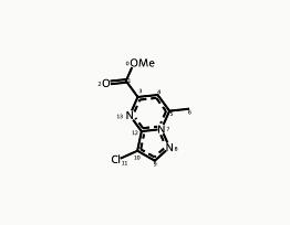 COC(=O)c1cc(C)n2ncc(Cl)c2n1